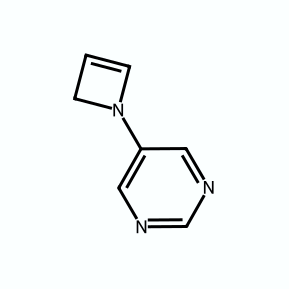 C1=CN(c2cncnc2)C1